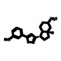 COc1cccc(-c2cc([C@H]3CC[C@H]4CN(C(=O)O)CCN43)no2)c1